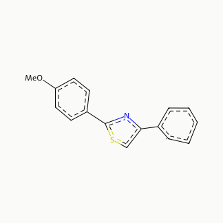 COc1ccc(-c2nc(-c3[c]cccc3)cs2)cc1